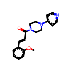 COc1ccccc1C=CC(=O)N1CCN(c2ccncc2)CC1